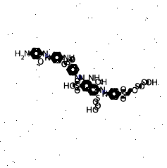 COc1cc(N)ccc1/N=N/c1ccc(NS(=O)(=O)c2ccc(/N=N/c3c(S(=O)(=O)O)cc4cc(SOOO)c(/N=N/c5ccc(S(=O)(=O)CCOSOOO)cc5)c(O)c4c3N)cc2)cc1